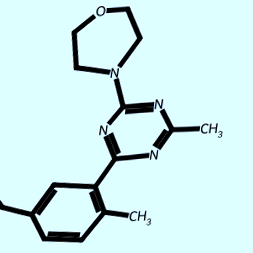 Cc1nc(-c2cc(CI)ccc2C)nc(N2CCOCC2)n1